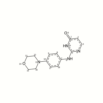 O=c1ccnc(Nc2ccc(N3CCOCC3)cc2)[nH]1